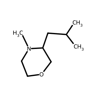 CC(C)CC1COCCN1C